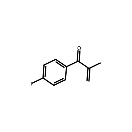 C=C(C)C(=O)c1ccc(I)cc1